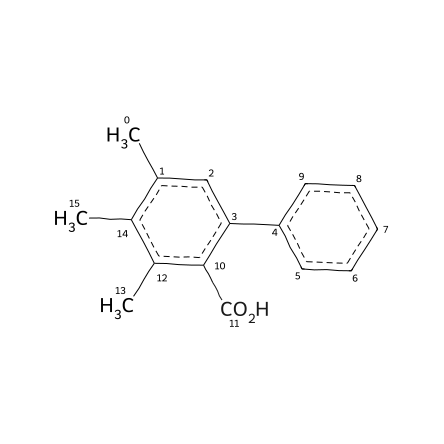 Cc1cc(-c2ccccc2)c(C(=O)O)c(C)c1C